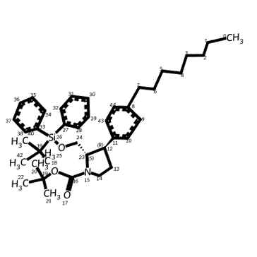 CCCCCCCCc1ccc([C@H]2CCN(C(=O)OC(C)(C)C)[C@@H]2CO[Si](c2ccccc2)(c2ccccc2)C(C)(C)C)cc1